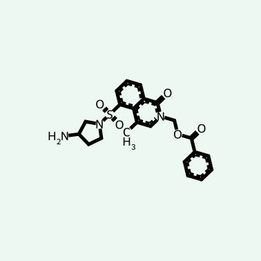 Cc1cn(COC(=O)c2ccccc2)c(=O)c2cccc(S(=O)(=O)N3CCC(N)C3)c12